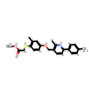 Cc1cc(OCc2ccc(-c3ccc(C(F)(F)F)cc3)nc2C)ccc1SCC(=O)OC(C)(C)C